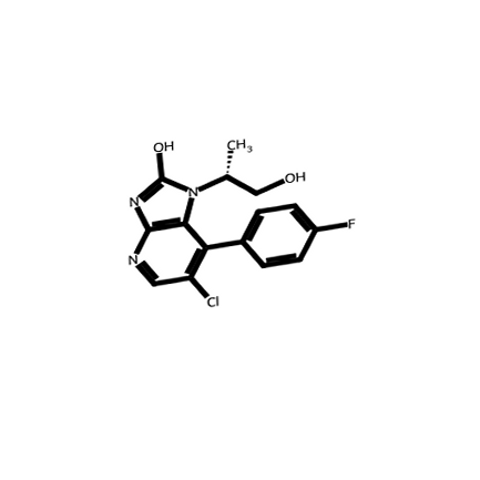 C[C@H](CO)n1c(O)nc2ncc(Cl)c(-c3ccc(F)cc3)c21